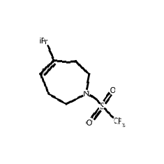 CC(C)C1=CCCN(S(=O)(=O)C(F)(F)F)CC1